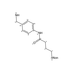 CCCCCCCCCCCCC(=O)Nc1ccc(C[NH])cc1